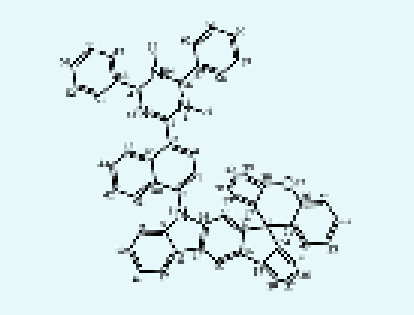 CN1C(c2ccc(-n3c4ccccc4c4cc5c(cc43)C3(c4ccccc4Oc4ccccc43)c3ccccc3-5)c3ccccc23)=NC(c2ccccc2)N(C)C1c1ccccc1